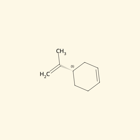 C=C(C)[C@@H]1CC=CCC1